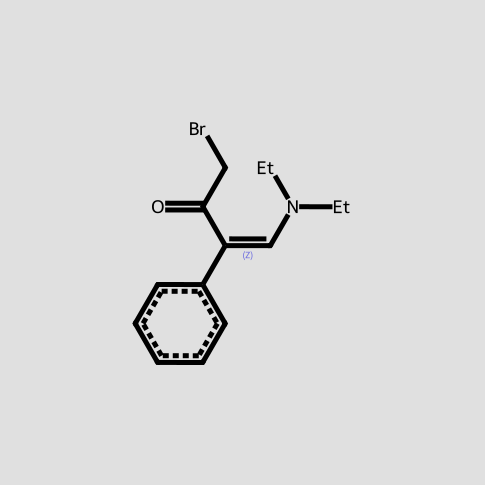 CCN(/C=C(\C(=O)CBr)c1ccccc1)CC